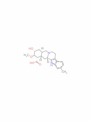 CO[C@@H]1[C@@H](C(=O)O)[C@H]2C[C@H]3c4[nH]c5cc(C)ccc5c4CCN3C[C@@H]2C[C@H]1O